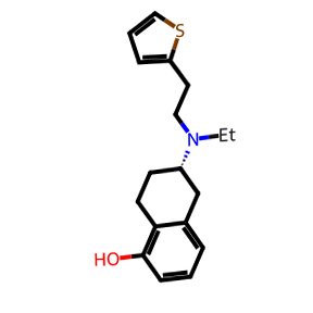 CCN(CCc1cccs1)[C@H]1CCc2c(O)cccc2C1